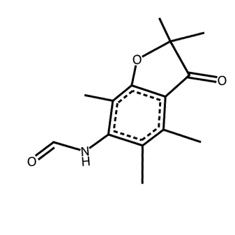 Cc1c(C)c2c(c(C)c1NC=O)OC(C)(C)C2=O